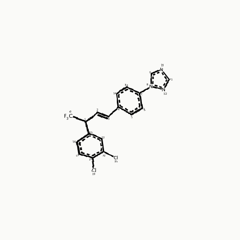 FC(F)(F)C(/C=C/c1ccc(-n2cncn2)cc1)c1ccc(Cl)c(Cl)c1